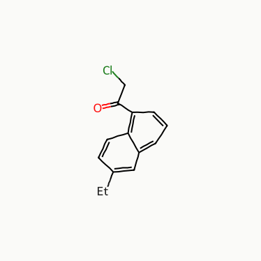 CCc1ccc2c(C(=O)CCl)cccc2c1